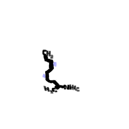 C=C/C=C\C=C/CC(=C)NC(C)=O